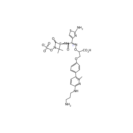 C[n+]1nc(NCCCN)ccc1-c1ccc(OCC(O/N=C(\C(=O)N[C@@H]2C(=O)N(OS(=O)(=O)[O-])C2(C)C)c2csc(N)n2)C(=O)O)cc1